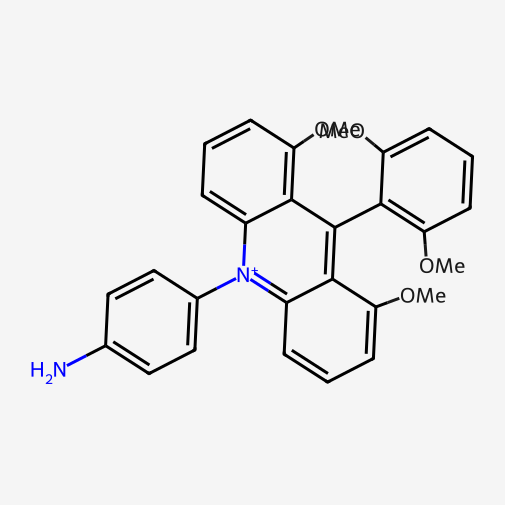 COc1cccc(OC)c1-c1c2c(OC)cccc2[n+](-c2ccc(N)cc2)c2cccc(OC)c12